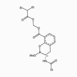 CCC(=O)N[C@H]1Cc2cccc(C(=O)OCOC(=O)C(CC)CC)c2OB1OC